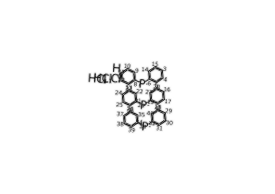 Cl.Cl.Cl.c1ccc([P]c2ccccc2)cc1.c1ccc([P]c2ccccc2)cc1.c1ccc([P]c2ccccc2)cc1